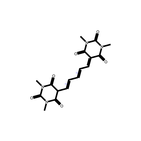 CN1C(=O)C(=C/C=C/C=C/C2C(=O)N(C)C(=O)N(C)C2=O)C(=O)N(C)C1=O